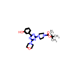 CC(C)(C)OC(=O)N1CCN(c2nc(-c3cccc(O)c3)nc(N3CCOCC3)n2)CC1